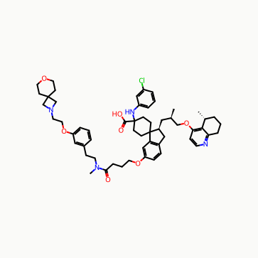 C[C@@H](COc1ccnc2c1[C@H](C)CCC2)C[C@H]1Cc2ccc(OCCCC(=O)N(C)CCc3cccc(OCCN4CC5(CCOCC5)C4)c3)cc2C12CCC(Nc1cccc(Cl)c1)(C(=O)O)CC2